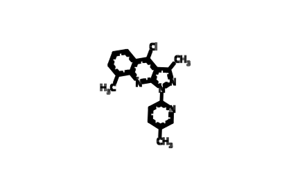 Cc1ccc(-n2nc(C)c3c(Cl)c4cccc(C)c4nc32)nc1